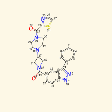 Cn1nc(-c2ccccc2)c2cc(C(=O)N3CC(N4CCN(C(=O)c5nccs5)CC4)C3)ccc21